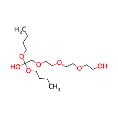 CCCCOC(O)(COCCOCCOCCO)OCCCC